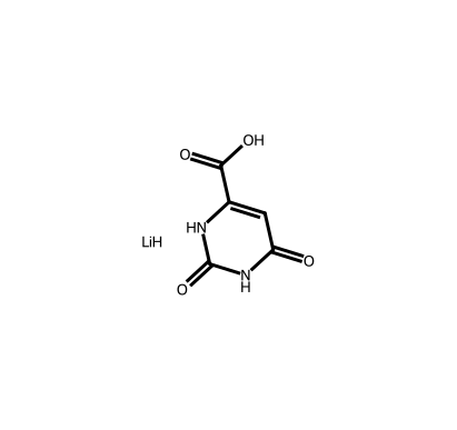 O=C(O)c1cc(=O)[nH]c(=O)[nH]1.[LiH]